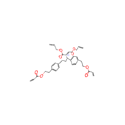 C=CCOC(=O)/C=C(/C(=O)OCC=C)C(CCc1ccc(CCOC(=O)C=C)cc1)c1ccc(CCOC(=O)C=C)cc1